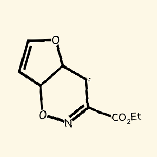 CCOC(=O)C1=NOC2C=COC2[C]1